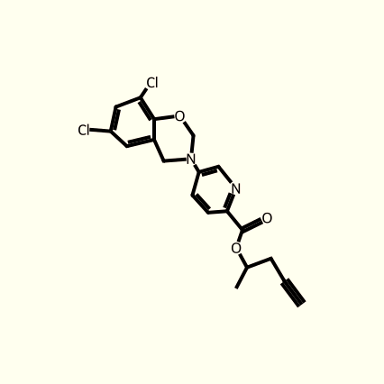 C#CCC(C)OC(=O)c1ccc(N2COc3c(Cl)cc(Cl)cc3C2)cn1